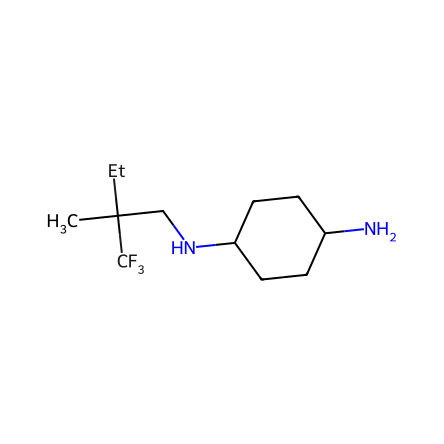 CCC(C)(CNC1CCC(N)CC1)C(F)(F)F